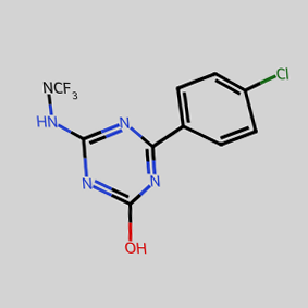 Oc1nc(NNC(F)(F)F)nc(-c2ccc(Cl)cc2)n1